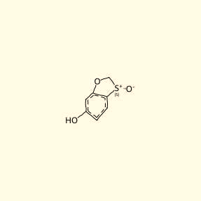 [O-][S@@+]1COc2cc(O)ccc21